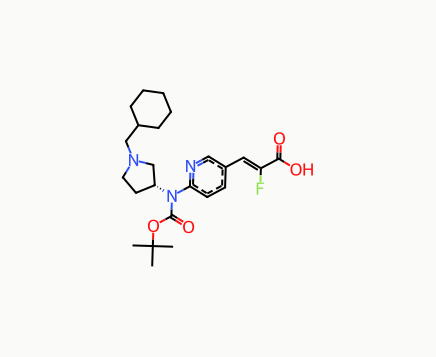 CC(C)(C)OC(=O)N(c1ccc(C=C(F)C(=O)O)cn1)[C@@H]1CCN(CC2CCCCC2)C1